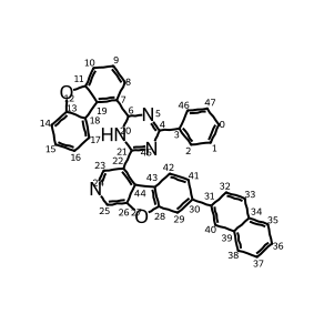 c1ccc(C2=NC(c3cccc4oc5ccccc5c34)NC(c3cncc4oc5cc(-c6ccc7ccccc7c6)ccc5c34)=N2)cc1